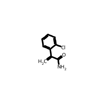 C=C(C(N)=O)c1ccccc1Cl